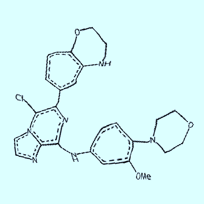 COc1cc(Nc2nc(-c3ccc4c(c3)NCCO4)c(Cl)n3ccnc23)ccc1N1CCOCC1